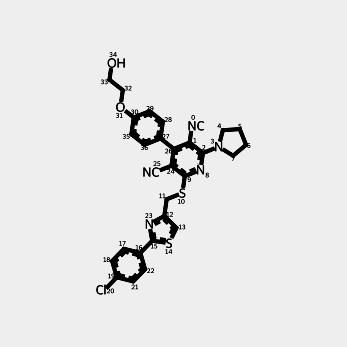 [C-]#[N+]c1c(N2CCCC2)nc(SCc2csc(-c3ccc(Cl)cc3)n2)c(C#N)c1-c1ccc(OCCO)cc1